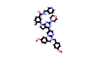 COc1ccc(CN(Cc2ccc(OC)cc2)c2ncc(-c3nc(N4CCOCC4)nc4c3CCN4c3cc(C(=O)NCc4cccnc4)ccc3C)cn2)cc1